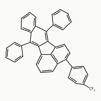 FC(F)(F)c1ccc(-c2ccc3c4c(cccc24)-c2c-3c(-c3ccccc3)c3ccccc3c2-c2ccccc2)cc1